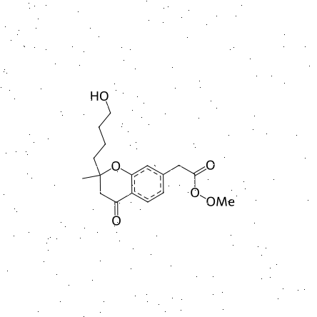 COOC(=O)Cc1ccc2c(c1)OC(C)(CCCCO)CC2=O